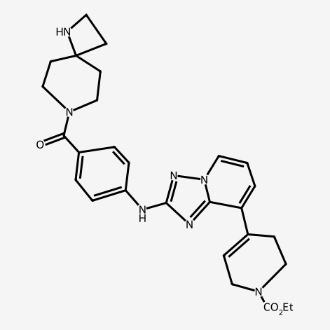 CCOC(=O)N1CC=C(c2cccn3nc(Nc4ccc(C(=O)N5CCC6(CCN6)CC5)cc4)nc23)CC1